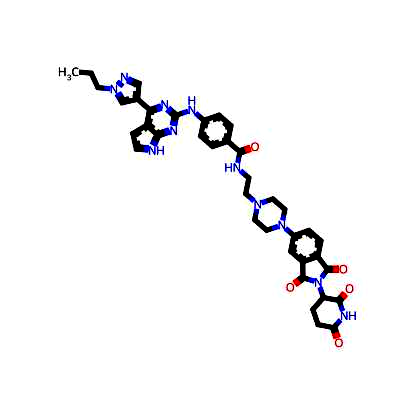 CCCn1cc(-c2nc(Nc3ccc(C(=O)NCCN4CCN(c5ccc6c(c5)C(=O)N(C5CCC(=O)NC5=O)C6=O)CC4)cc3)nc3[nH]ccc23)cn1